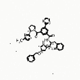 Cc1csc([C@H]2CCCN2C(=O)c2cc(C(=O)N[C@@H](Cc3ccccc3)[C@@H](O)[C@H]3C[C@@H](OCc4ccccc4)CN3)cc(-c3ncco3)c2)n1